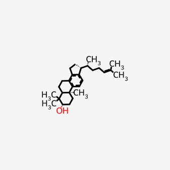 CC(C)=CCC[C@@H](C)[C@H]1CCc2c1ccc1c2CCC2C(C)(C)[C@@H](O)CC[C@]12C